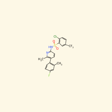 Cc1cc(F)ccc1-c1ccc(NS(=O)(=O)c2cc(C(F)(F)F)ccc2Cl)nc1C